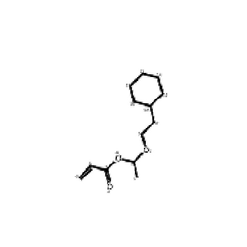 C=CC(=O)OC(C)OCCC1CCCCC1